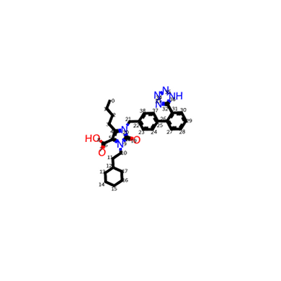 CCCCc1c(C(=O)O)n(CCC2CCCCC2)c(=O)n1Cc1ccc(-c2ccccc2-c2nnn[nH]2)cc1